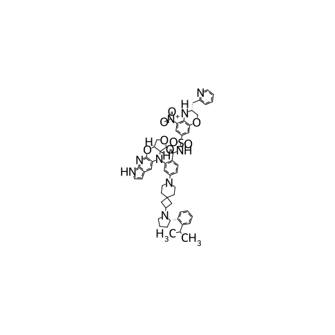 CC(C)c1ccccc1[C@@H]1CCCN1C1CC2(CCN(c3ccc(C(=O)NS(=O)(=O)c4cc5c(c([N+](=O)[O-])c4)N[C@H](Cc4ccccn4)CO5)c(N4c5cc6cc[nH]c6nc5O[C@H]5COC[C@@H]54)c3)CC2)C1